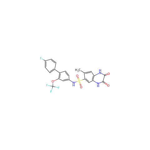 Cc1cc2[nH]c(=O)c(=O)[nH]c2cc1S(=O)(=O)Nc1ccc(-c2ccc(F)cc2)c(OC(F)(F)F)c1